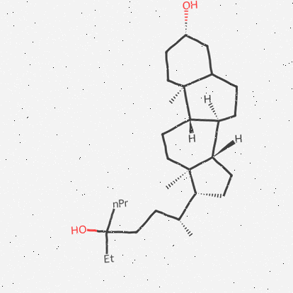 CCCC(O)(CC)CC[C@@H](C)[C@H]1CC[C@H]2[C@@H]3CCC4C[C@@H](O)CC[C@]4(C)[C@H]3CC[C@]12C